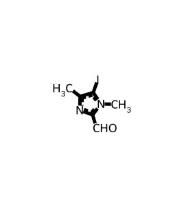 Cc1nc(C=O)n(C)c1I